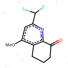 COc1cc(C(F)F)nc2c1CCCC2=O